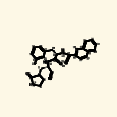 O=C[C@H](C[C@@H]1CCNC1=O)NC(=O)[C@H](Cc1cccc(F)c1)NC(=O)c1ccc2ccccc2n1